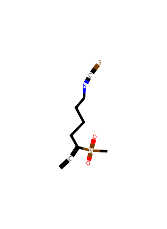 C=C=C(CCCCN=C=S)S(C)(=O)=O